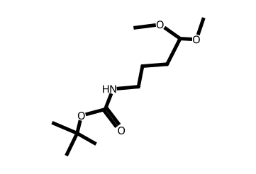 COC(CCCNC(=O)OC(C)(C)C)OC